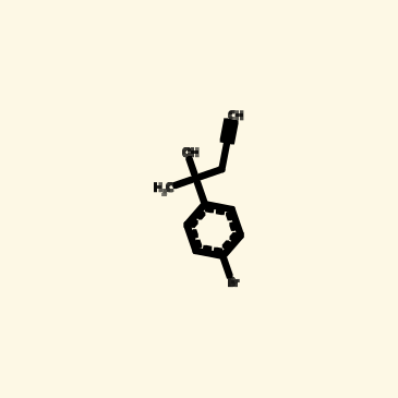 C#CCC(C)(O)c1ccc(Br)cc1